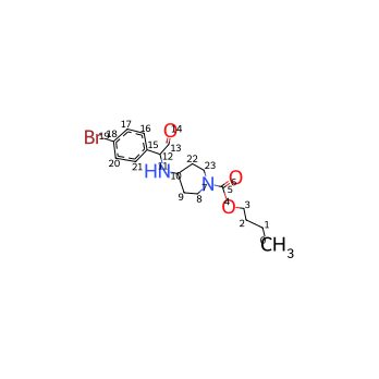 CCCCOC(=O)N1CCC(NC(C=O)c2ccc(Br)cc2)CC1